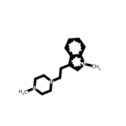 CN1CCN(CCc2cn(C)c3ccccc23)CC1